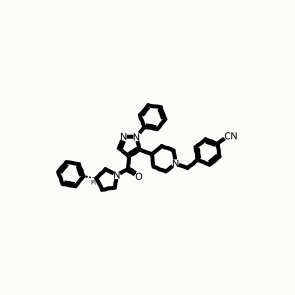 N#Cc1ccc(CN2CCC(c3c(C(=O)N4CC[C@H](c5ccccc5)C4)cnn3-c3ccccc3)CC2)cc1